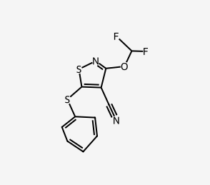 N#Cc1c(OC(F)F)nsc1Sc1ccccc1